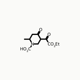 CCOC(=O)C(=O)C1CN(C(=O)O)C(C)CC1=O